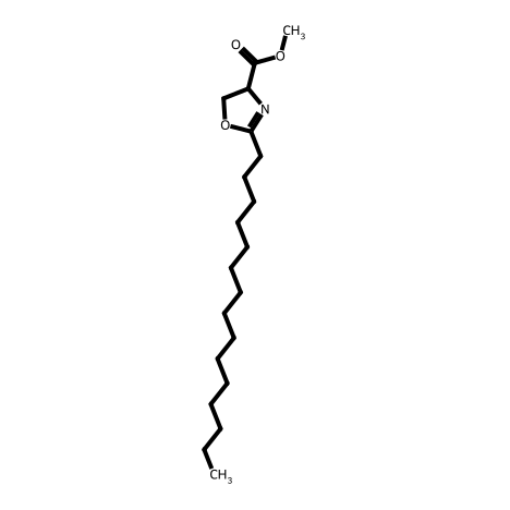 CCCCCCCCCCCCCCCC1=NC(C(=O)OC)CO1